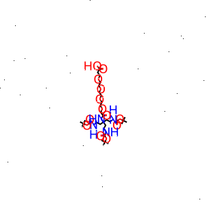 CC(C)(C)OC(=O)NCCC(CCNC(=O)OC(C)(C)C)(CCNC(=O)OC(C)(C)C)NC(=O)COCCOCCOCCOCCC(=O)O